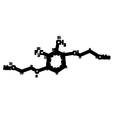 COCCOc1ccc(OCCOC)c(C(F)(F)F)c1C